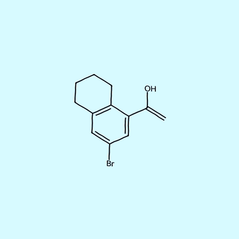 C=C(O)c1cc(Br)cc2c1CCCC2